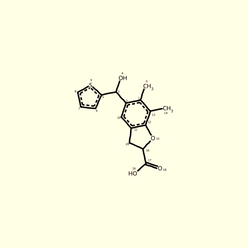 Cc1c(C(O)c2cccs2)cc2c(c1C)OC(C(=O)O)C2